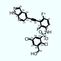 O=S(=O)(Nc1ccc(F)c(C#Cc2cnc3[nH]ncc3c2)c1F)c1cc(Cl)cc(CO)c1Cl